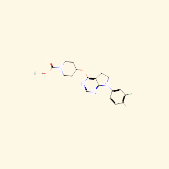 CC(C)OC(=O)N1CCC(Oc2ncnc3c2CCN3c2ccc(Br)c(F)c2)CC1